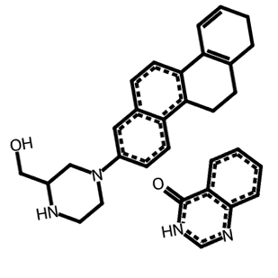 O=c1[nH]cnc2ccccc12.OCC1CN(c2ccc3c4c(ccc3c2)C2=C(CCC=C2)CC4)CCN1